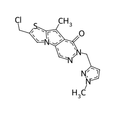 Cc1c2c(=O)n(Cc3ccn(C)n3)ncc2n2cc(CCl)sc12